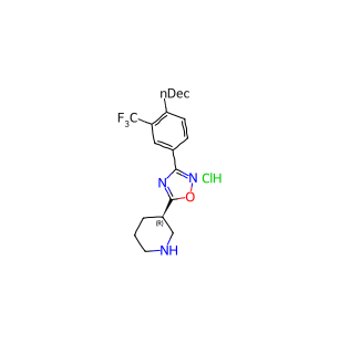 CCCCCCCCCCc1ccc(-c2noc([C@@H]3CCCNC3)n2)cc1C(F)(F)F.Cl